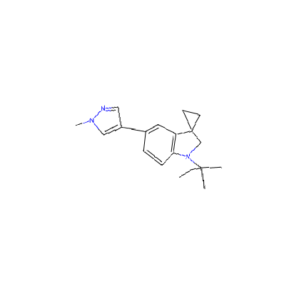 Cn1cc(-c2ccc3c(c2)C2(CC2)CN3C(C)(C)C)cn1